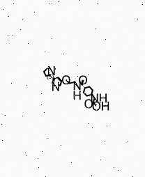 CN1CCC[C@H]1c1cncc(OCCNC(=O)[C@H]2CC[C@H](NC(=O)O)CC2)c1